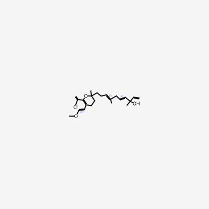 C=CC(C)(O)/C=C/C/C(C)=C/CCC1(C)CCC(/C=C/OC)=C(C(=C)Cl)O1